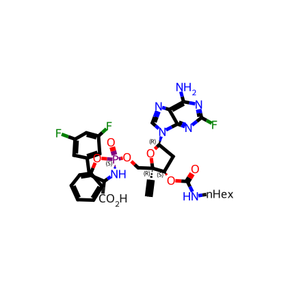 C#C[C@]1(CO[P@@](=O)(NC(Cc2cc(F)cc(F)c2)C(=O)O)Oc2ccccc2)O[C@@H](n2cnc3c(N)nc(F)nc32)C[C@@H]1OC(=O)NCCCCCC